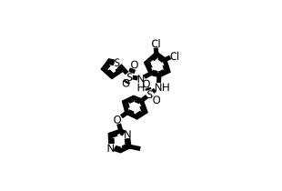 Cc1cncc(Oc2ccc(S(=O)(=O)Nc3cc(Cl)c(Cl)cc3NS(=O)(=O)c3cccs3)cc2)n1